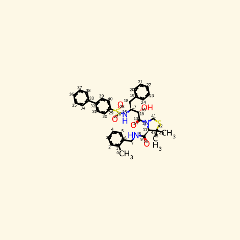 Cc1ccccc1CNC(=O)[C@H]1N(C(=O)[C@@H](O)[C@H](Cc2ccccc2)NS(=O)(=O)c2ccc(-c3ccccc3)cc2)CSC1(C)C